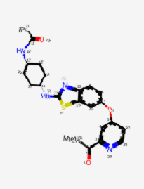 CNC(=O)c1cc(Oc2ccc3nc(N[C@H]4CC[C@H](NC(=O)C(C)C)CC4)sc3c2)ccn1